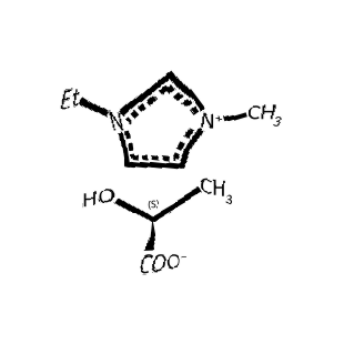 CCn1cc[n+](C)c1.C[C@H](O)C(=O)[O-]